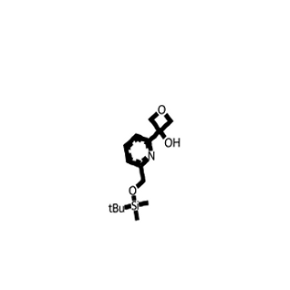 CC(C)(C)[Si](C)(C)OCc1cccc(C2(O)COC2)n1